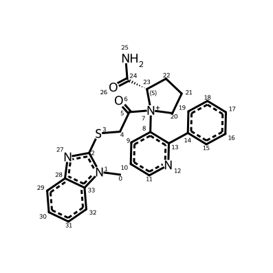 Cn1c(SCC(=O)[N+]2(c3cccnc3-c3ccccc3)CCC[C@H]2C(N)=O)nc2ccccc21